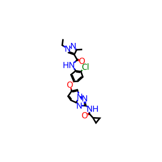 CCn1cc(C(=O)Nc2cc(Oc3ccc4nc(NC(=O)C5CC5)nn4c3)ccc2Cl)c(C)n1